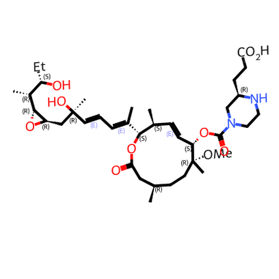 CC[C@H](O)[C@@H](C)[C@H]1O[C@@H]1C[C@@](C)(O)/C=C/C=C(\C)[C@H]1OC(=O)C[C@H](C)CC[C@@](C)(OC)[C@@H](OC(=O)N2CCN[C@H](CCC(=O)O)C2)/C=C/[C@@H]1C